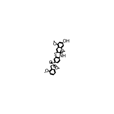 COc1cc(O)cc(OC)c1/C=C1/Sc2cc(S(=O)(=O)Cc3c(OC)cccc3OC)ccc2NC1=O